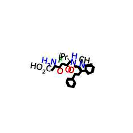 CC(C)[C@H](NC(=O)c1c(CCc2ccccc2)c2ccccc2n1C)C(=O)C(F)C(=O)C(N)CC(=O)O